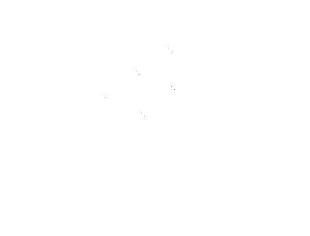 Nc1nc(N=O)nc(-c2cc(Cl)ccc2Cl)n1